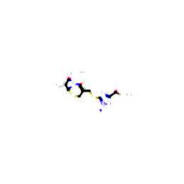 COC(=O)c1nc(SCC2=C(OC(=O)O)N3C(=O)[C@@H](N)[C@H]3SC2)n(C)n1